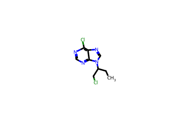 CCC(CCl)n1cnc2c(Cl)ncnc21